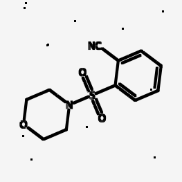 N#Cc1ccccc1S(=O)(=O)N1CCOCC1